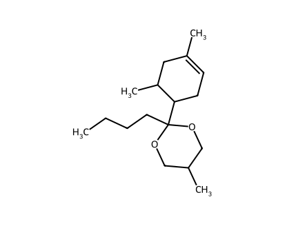 CCCCC1(C2CC=C(C)CC2C)OCC(C)CO1